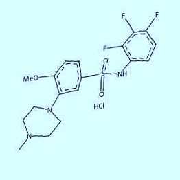 COc1ccc(S(=O)(=O)Nc2ccc(F)c(F)c2F)cc1N1CCN(C)CC1.Cl